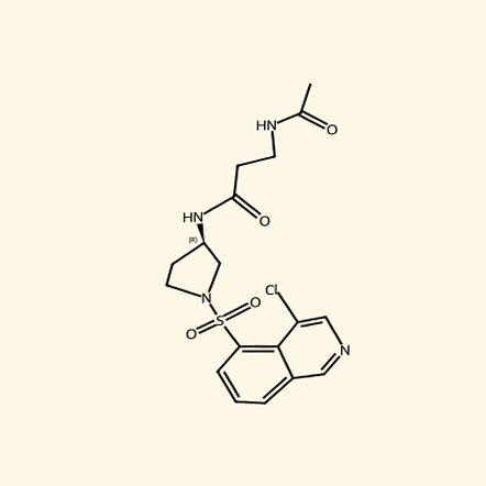 CC(=O)NCCC(=O)N[C@@H]1CCN(S(=O)(=O)c2cccc3cncc(Cl)c23)C1